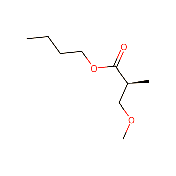 CCCCOC(=O)[C@@H](C)COC